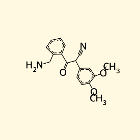 COc1ccc(C(C#N)C(=O)c2ccccc2CN)cc1OC